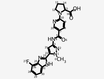 Cn1nc(NC(=O)c2ccc(N3CCCC3C(=O)O)nc2)cc1-c1nc2c(F)cccc2[nH]1